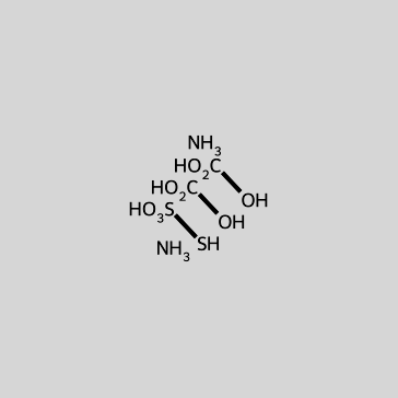 N.N.O=C(O)O.O=C(O)O.O=S(=O)(O)S